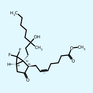 CCCCCC(C)(O)CC[C@]12[C@@H](C/C=C\CCCC(=O)OC)C(=O)C[C@H]1C2(F)F